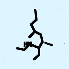 CCC[C@H](C)C[C@H](C)C(CC)NCC